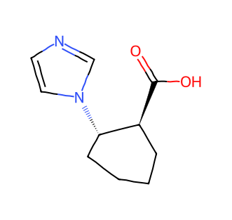 O=C(O)[C@H]1CCCC[C@@H]1n1ccnc1